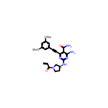 C=CC(=O)N1CC[C@H](Nc2nc(N)c(C(N)=O)c(C#Cc3cc(OC)cc(OC)c3)n2)C1